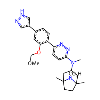 COCOc1cc(-c2cn[nH]c2)ccc1-c1ccc(N(C)C2CC3(C)CCC(C)(C2)N3C(=O)O)nn1